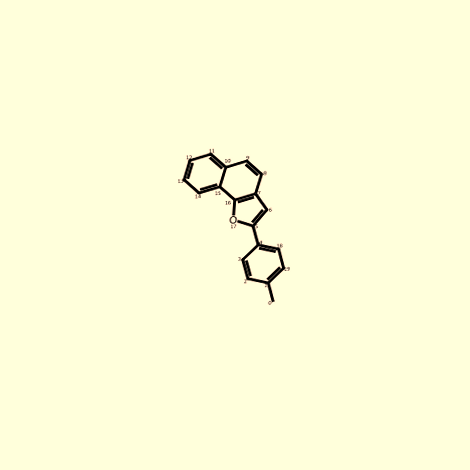 Cc1ccc(-c2cc3ccc4ccccc4c3o2)cc1